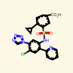 O=C(O)c1ccc(C2CC2)c(S(=O)(=O)Nc2cc(-n3cnnn3)c(Cl)cc2-c2ccccn2)c1